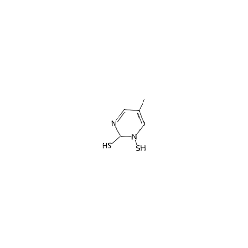 CC1=CN(S)C(S)N=C1